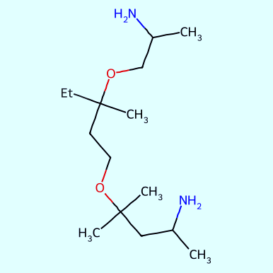 CCC(C)(CCOC(C)(C)CC(C)N)OCC(C)N